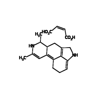 CC1=CC2=C3CCC=C4NCC(=C43)CC2C(C)N1.O=C(O)/C=C\C(=O)O